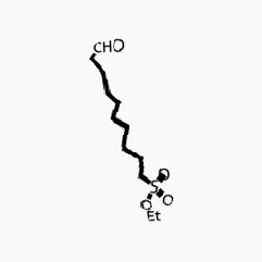 CCOS(=O)(=O)CCCCCCCCCC=O